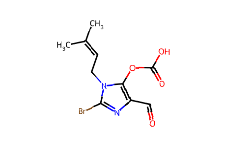 CC(C)=CCn1c(Br)nc(C=O)c1OC(=O)O